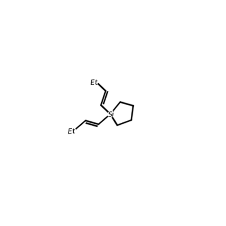 CCC=C[Si]1(C=CCC)CCCC1